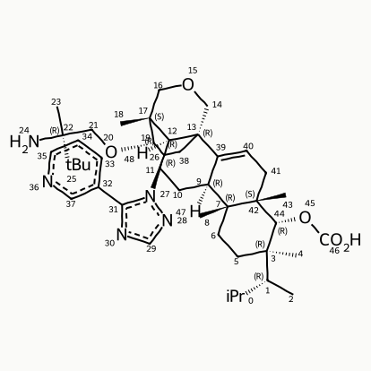 CC(C)[C@@H](C)[C@@]1(C)CC[C@]2(C)[C@H]3CC[C@@H]4[C@@]5(COC[C@@]4(C)[C@@H](OC[C@](C)(N)C(C)(C)C)[C@H](n4ncnc4-c4cccnc4)C5)C3=CC[C@]2(C)[C@@H]1OC(=O)O